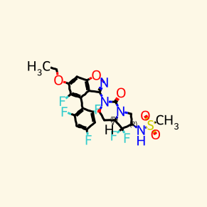 CCOc1cc2onc(N3CC[C@H]4N(C[C@@H](NS(C)(=O)=O)C4(F)F)C3=O)c2c(-c2c(F)cc(F)cc2F)c1F